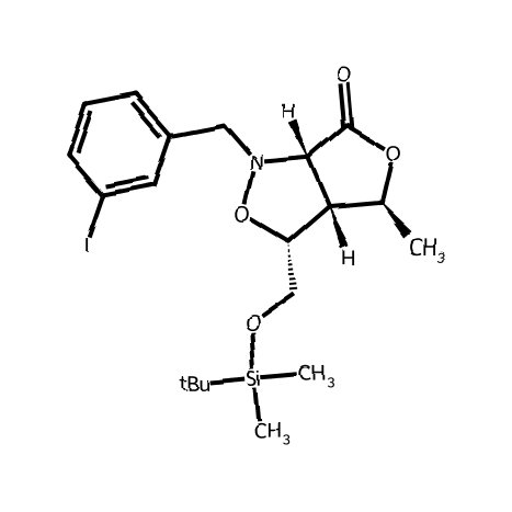 C[C@@H]1OC(=O)[C@@H]2[C@H]1[C@H](CO[Si](C)(C)C(C)(C)C)ON2Cc1cccc(I)c1